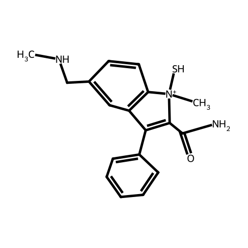 CNCc1ccc2c(c1)C(c1ccccc1)=C(C(N)=O)[N+]2(C)S